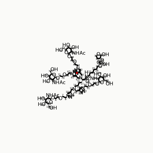 CC(=O)N[C@H]1[C@H](OCCOCCn2cc(CN(CCCC[C@@H](C(=O)NCCCCCCOP(=O)(O)OC3CCO[C@@H]3O)N(Cc3cn(CCOCCO[C@@H]4O[C@H](CO)[C@H](O)[C@H](O)[C@H]4NC(C)=O)nn3)Cc3cn(CCOCCO[C@@H]4O[C@H](CO)[C@H](O)[C@H](O)[C@H]4NC(C)=O)nn3)Cc3cn(CCOCCO[C@@H]4O[C@H](CO)[C@H](O)[C@H](O)[C@H]4NC(C)=O)nn3)nn2)O[C@H](CO)[C@H](O)[C@@H]1O